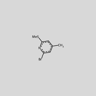 CSc1cc(C)cc(Br)n1